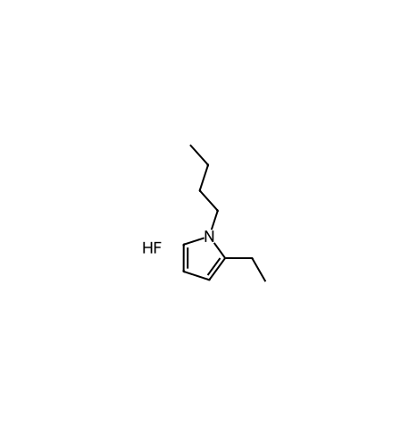 CCCCn1cccc1CC.F